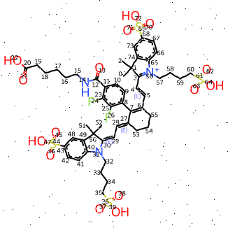 CC1(C)C(/C=C/C2=C(c3ccc(C(=O)NCCCCCC(=O)O)c(F)c3F)C(=C/C=C3/N(CCCCS(=O)(=O)O)c4ccc(S(=O)(=O)O)cc4C3(C)C)/CCC2)=[N+](CCCCS(=O)(=O)O)c2ccc(S(=O)(=O)O)cc21